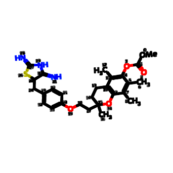 COC(=O)Oc1c(C)c(C)c2c(c1C)CCC(C)(CCOc1ccc(CC3SC(=N)NC3=N)cc1)O2